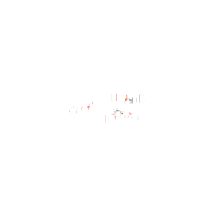 CCCCC(F)(F)[C@H](O)CC[C@@H]1[C@@H](CCCCCCC(=O)OCc2ccccc2)[C@@H](O)C[C@H]1OC(C)C